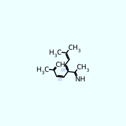 C=C(C)/C=C\C(=C\C=C(C)C)C(C)=N